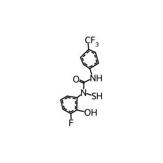 O=C(Nc1ccc(C(F)(F)F)cc1)N(S)c1cccc(F)c1O